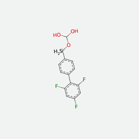 OC(O)O[SiH2]c1ccc(-c2c(F)cc(F)cc2F)cc1